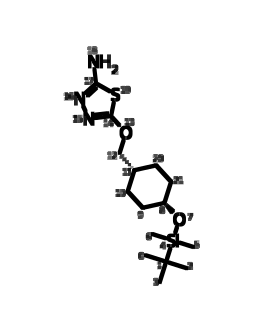 CC(C)(C)[Si](C)(C)O[C@H]1CC[C@H](COc2nnc(N)s2)CC1